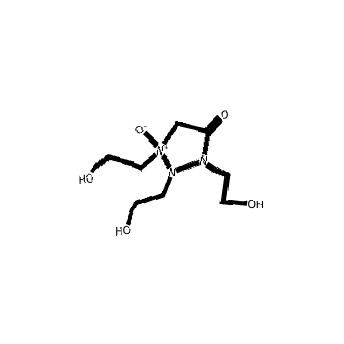 O=C1C[N+]([O-])(CCO)N(CCO)N1CCO